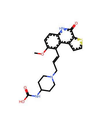 COc1ccc2[nH]c(=O)c3sccc3c2c1/C=C/CN1CCC(NC(=O)O)CC1